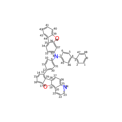 c1ccc(-c2ccc(N(c3ccc(-c4cccc5oc6c7cccnc7ccc6c45)cc3)c3ccc4c(c3)oc3ccccc34)cc2)cc1